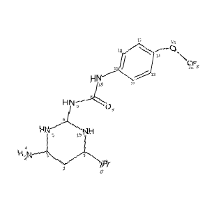 CC(C)C1CC(N)NC(NC(=O)Nc2ccc(OC(F)(F)F)cc2)N1